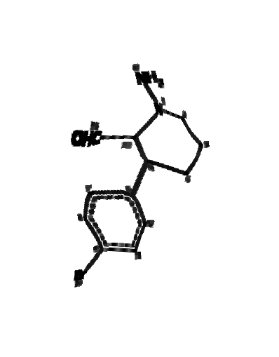 NN1CCCC(c2ccc(Br)cc2)C1C=O